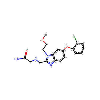 CCOCCn1c(CNCC(N)=O)nc2ccc(Oc3ccccc3Cl)cc21